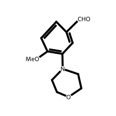 COc1ccc(C=O)cc1N1CCOCC1